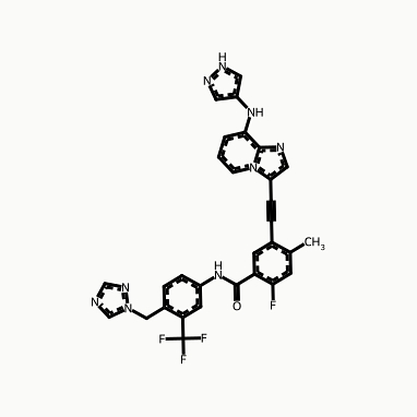 Cc1cc(F)c(C(=O)Nc2ccc(Cn3cncn3)c(C(F)(F)F)c2)cc1C#Cc1cnc2c(Nc3cn[nH]c3)cccn12